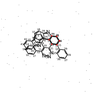 c1ccc(-c2ccccc2-c2c(-c3ccccc3)nnnc2-c2c(-c3ccccc3)ccc3c2-c2c4c(ccc2=N3)=c2ccccc2=N4)cc1